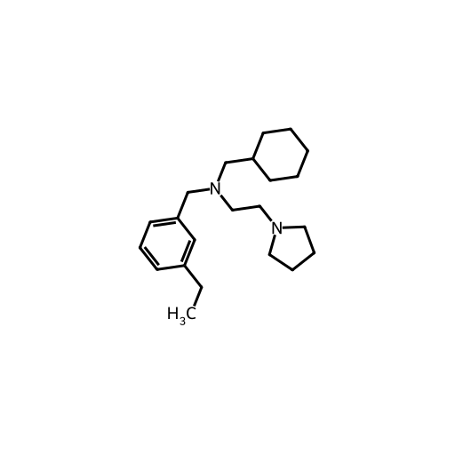 CCc1cccc(CN(CCN2CCCC2)CC2CCCCC2)c1